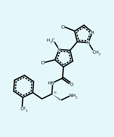 Cn1ncc(Cl)c1-c1cc(C(=O)N[C@H](CN)Cc2ccccc2C(F)(F)F)c(Cl)n1C